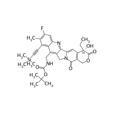 CC[C@@]1(O)C(=O)OCc2c1cc1n(c2=O)Cc2c-1nc1cc(F)c(C)c(C#C[Si](C)(C)C)c1c2CNC(=O)OC(C)(C)C